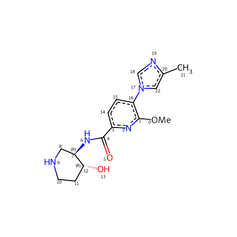 COc1nc(C(=O)N[C@@H]2CNCC[C@H]2O)ccc1-n1cnc(C)c1